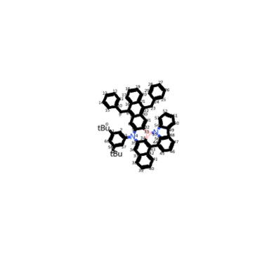 CC(C)(C)c1cc(N2c3cc4c(Cc5ccccc5)c5ccccc5c(Cc5ccccc5)c4cc3B3c4c2cc2ccccc2c4-c2cccc4c5ccccc5n3c24)cc(C(C)(C)C)c1